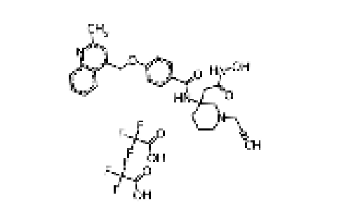 C#CCN1CCCC(CC(=O)NO)(NC(=O)c2ccc(OCc3cc(C)nc4ccccc34)cc2)C1.O=C(O)C(F)(F)F.O=C(O)C(F)(F)F